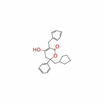 O=C1OC(CC2CCCC2)(c2ccccc2)CC(O)=C1Cc1ccccc1